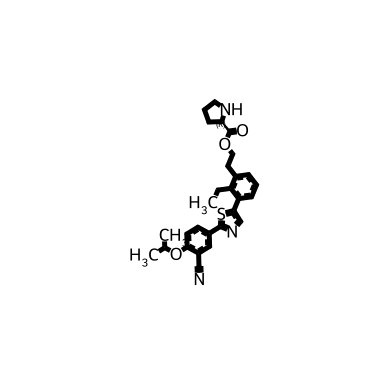 CCc1c(CCOC(=O)[C@H]2CCCN2)cccc1-c1cnc(-c2ccc(OC(C)C)c(C#N)c2)s1